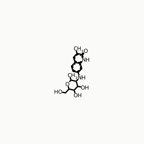 Cc1cc2ccc(NC3C(C)OC(CO)C(O)C3O)cc2[nH]c1=O